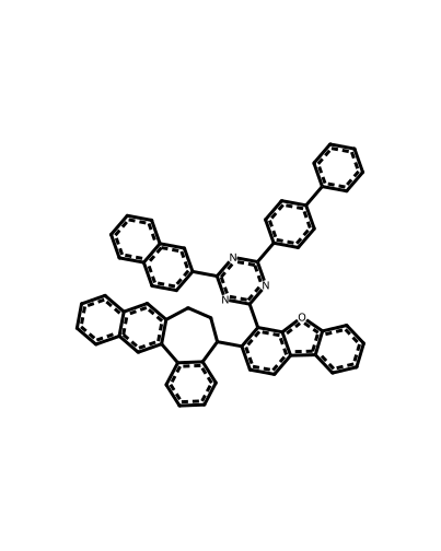 c1ccc(-c2ccc(-c3nc(-c4ccc5ccccc5c4)nc(-c4c(C5CCc6cc7ccccc7cc6-c6ccccc65)ccc5c4oc4ccccc45)n3)cc2)cc1